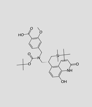 COc1cc(CN(C[C@H](C[Si](C)(C)C(C)(C)C)c2ccc(O)c3[nH]c(=O)ccc23)C(=O)OC(C)(C)C)ccc1C(=O)O